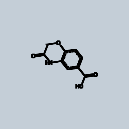 O=C1[CH]Oc2ccc(C(=O)O)cc2N1